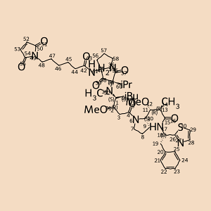 CC[C@H](C)[C@@H]([C@@H](CC(=O)N1CCC[C@H]1[C@H](OC)[C@@H](C)C(=O)N[C@@H](Cc1ccccc1)c1nccs1)OC)N(C)[C@@](C(N)=O)(C(=O)C1(NC(=O)CCCCCN2C(=O)C=CC2=O)CCCC1)C(C)C